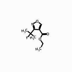 CCOC(=O)c1conc1C(C)(C)F